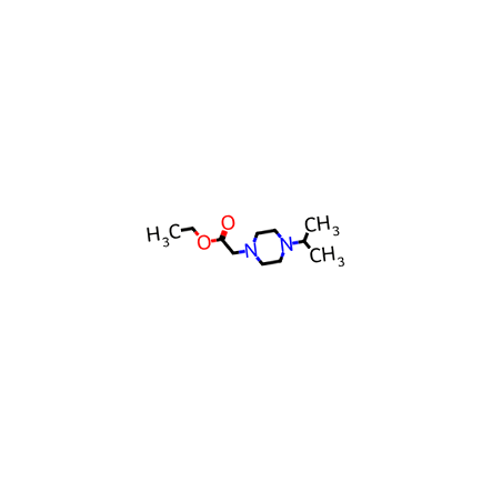 CCOC(=O)CN1CCN(C(C)C)CC1